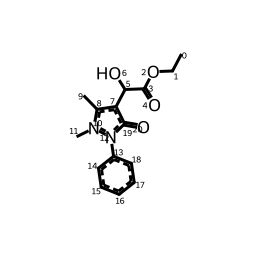 CCOC(=O)C(O)c1c(C)n(C)n(-c2ccccc2)c1=O